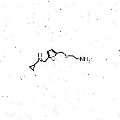 NCCSCc1ccc(CNC2CC2)o1